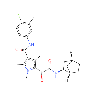 Cc1cc(NC(=O)c2c(C)c(C(=O)C(=O)N[C@H]3C[C@@H]4CC[C@H]3C4)n(C)c2C)ccc1F